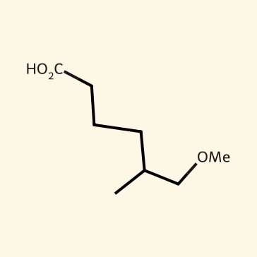 COCC(C)CCCC(=O)O